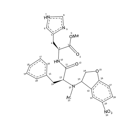 COC(=O)[C@H](Cc1c[nH]cn1)NC(=O)[C@H](Cc1ccccc1)N(C(C)=O)C1COc2ccc([N+](=O)[O-])cc21